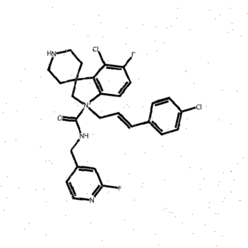 O=C(NCc1ccnc(F)c1)[N+]1(C/C=C/c2ccc(Cl)cc2)CC2(CCNCC2)c2c1ccc(F)c2Cl